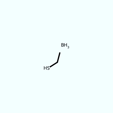 B.CCS